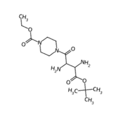 CCOC(=O)N1CCN(C(=O)C(N)C(N)C(=O)OC(C)(C)C)CC1